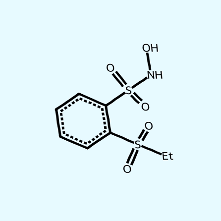 CCS(=O)(=O)c1ccccc1S(=O)(=O)NO